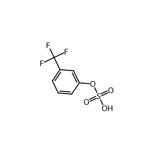 O=S(=O)(O)Oc1cccc(C(F)(F)F)c1